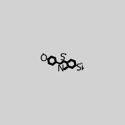 COc1ccc(-c2ncc3cc([Si](C)(C)C)ccc3c2SC)cc1